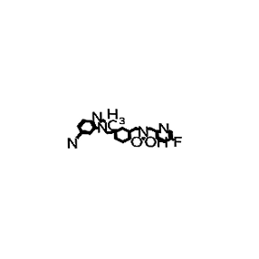 C[C@]1(Cn2cnc3ccc(C#N)cc32)CCCC(CN(Cc2ccc(F)cn2)C(=O)O)C1